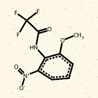 COc1cccc([N+](=O)[O-])c1NC(=O)C(F)(F)F